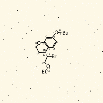 CCCCOc1ccc2c(c1)OCC[C@H]2C(Br)COCC